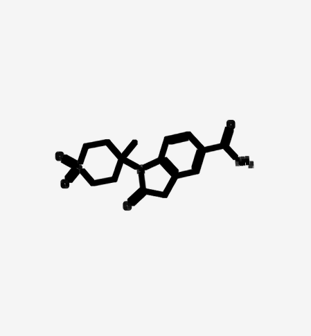 CC1(N2C(=O)Cc3cc(C(N)=O)ccc32)CCS(=O)(=O)CC1